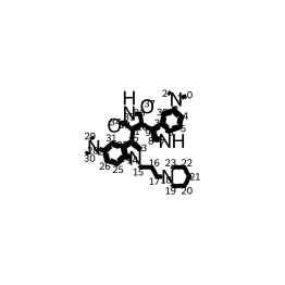 CN(C)c1ccc2[nH]cc(C3=C(c4cn(CCCN5CCCCC5)c5ccc(N(C)C)cc45)C(=O)NC3=O)c2c1